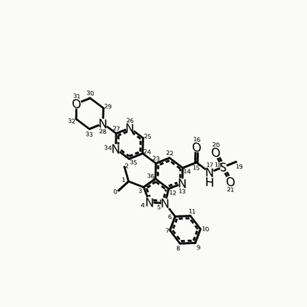 CC(C)c1nn(-c2ccccc2)c2nc(C(=O)NS(C)(=O)=O)cc(-c3cnc(N4CCOCC4)nc3)c12